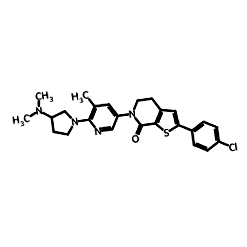 Cc1cc(N2CCc3cc(-c4ccc(Cl)cc4)sc3C2=O)cnc1N1CCC(N(C)C)C1